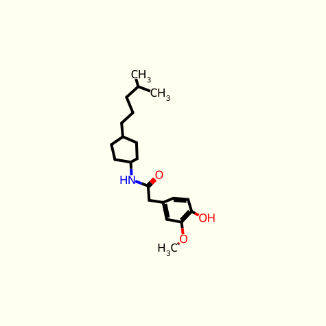 COc1cc(CC(=O)NC2CCC(CCCC(C)C)CC2)ccc1O